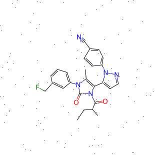 CCC(C)C(=O)n1c(-c2ccnn2-c2ccc(C#N)cc2)c(C)n(-c2cccc(CF)c2)c1=O